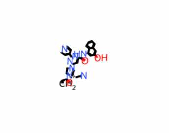 C=CC(=O)N1CCN(c2cc(C(=O)Nc3cc(O)cc4ccccc34)nc(-c3ccncc3)n2)C[C@@H]1CC#N